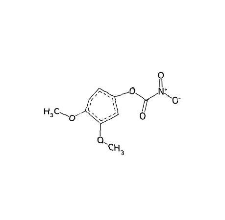 COc1ccc(OC(=O)[N+](=O)[O-])cc1OC